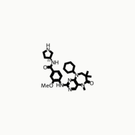 COc1cc(C(=O)N[C@H]2CCNC2)ccc1Nc1ncc2c(n1)N(C1CCCCC1)CC(C)(C)C(=O)N2C